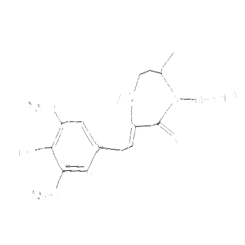 CCCCCCCN1C(=O)/C(=C/c2cc(OC)c(O)c(OC)c2)NCC1C